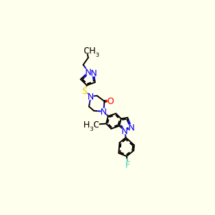 CCCn1cc(SN2CCN(c3cc4cnn(-c5ccc(F)cc5)c4cc3C)C(=O)C2)cn1